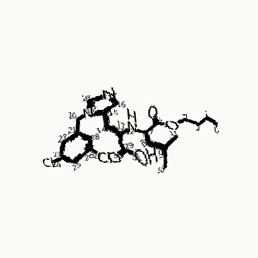 CCCCOC(=O)C(CC(C)C)NC(Cc1cncn1Cc1cc(Cl)cc(Cl)c1)C(=O)O